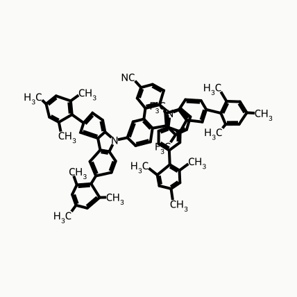 Cc1cc(C)c(-c2ccc3c(c2)c2cc(-c4c(C)cc(C)cc4C)ccc2n3-c2ccc(-c3c(C(F)(F)F)cccc3C(F)(F)F)c(-c3cc(C#N)ccc3-n3c4ccc(-c5c(C)cc(C)cc5C)cc4c4cc(-c5c(C)cc(C)cc5C)ccc43)c2)c(C)c1